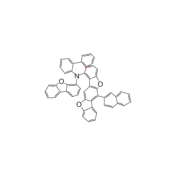 c1ccc(-c2ccccc2N(c2cccc3c2oc2ccccc23)c2cccc3oc4c(-c5ccc6ccccc6c5)c5c(cc4c23)oc2ccccc25)cc1